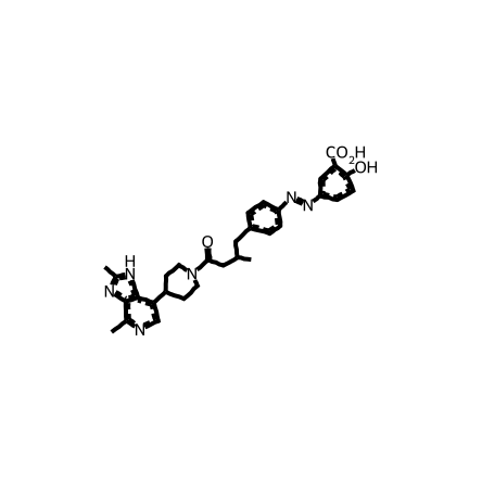 Cc1nc2c(C)ncc(C3CCN(C(=O)CC(C)Cc4ccc(N=Nc5ccc(O)c(C(=O)O)c5)cc4)CC3)c2[nH]1